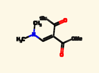 COC(=O)C(=CN(C)C)C(=O)C(C)(C)C